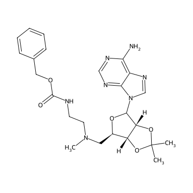 CN(CCNC(=O)OCc1ccccc1)C[C@H]1OC(n2cnc3c(N)ncnc32)[C@@H]2OC(C)(C)O[C@H]12